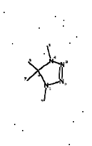 CN1N=NN(C)C1(C)C